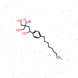 CCCCCCCCc1ccc(C(O)CC(CO)(CO)[N+](=O)[O-])cc1